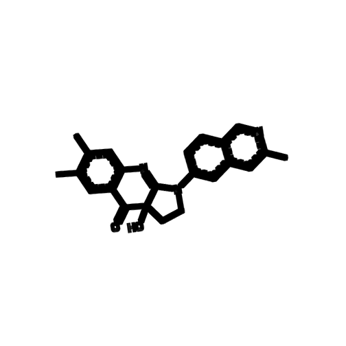 Cc1cc2cc(N3CCC4(O)C(=O)c5cc(C)c(C)cc5N=C34)ccc2cn1